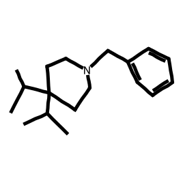 CC(C)C1(C(C)C)CCN(Cc2ccccc2)CC1